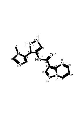 Cn1cncc1C1NNC=C1NC(=O)c1cnn2cccnc12